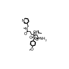 COc1ccc(S(=O)(=O)[N+](O)(CCC(=O)N(C)Cc2cccnc2)[C@@H](C(N)=O)C(C)C)cc1